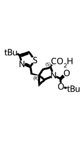 CC(C)(C)OC(=O)N1C2C[C@]2(Cc2nc(C(C)(C)C)cs2)C[C@H]1C(=O)O